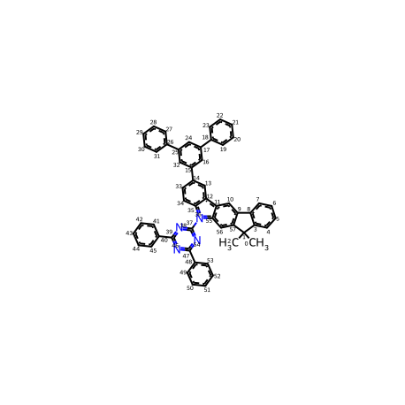 CC1(C)c2ccccc2-c2cc3c4cc(-c5cc(-c6ccccc6)cc(-c6ccccc6)c5)ccc4n(-c4nc(-c5ccccc5)nc(-c5ccccc5)n4)c3cc21